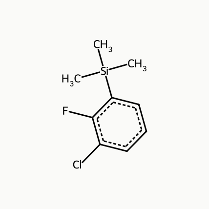 C[Si](C)(C)c1cccc(Cl)c1F